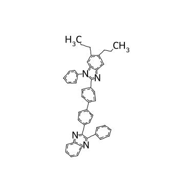 CCCc1cc2nc(-c3ccc(-c4ccc(-c5nc6ccccc6nc5-c5ccccc5)cc4)cc3)n(-c3ccccc3)c2cc1CCC